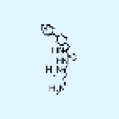 NCCCC(N)CNC(=O)c1cc2ccc(-c3ccncc3)cc2[nH]1